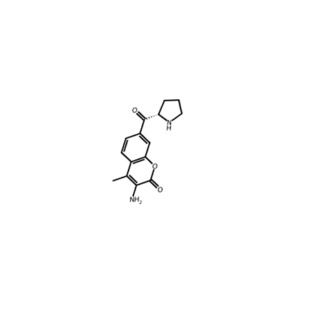 Cc1c(N)c(=O)oc2cc(C(=O)[C@@H]3CCCN3)ccc12